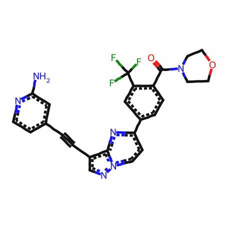 Nc1cc(C#Cc2cnn3ccc(-c4ccc(C(=O)N5CCOCC5)c(C(F)(F)F)c4)nc23)ccn1